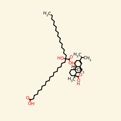 CC(C)C1=CC2=CCC3[C@](C)(C(=O)O)CCC[C@]3(C)[C@H]2CC1.CCCCCCCCCCCCCCCCC(O)(CCCCCCCCCCCCCCCCCC(=O)O)C(=O)O